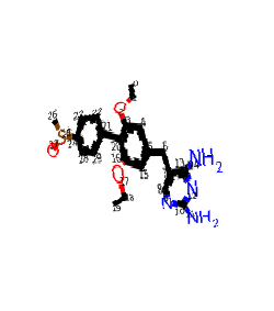 CCOc1cc(Cc2cnc(N)nc2N)cc(OCC)c1-c1ccc([S+](C)[O-])cc1